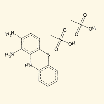 CS(=O)(=O)O.CS(=O)(=O)O.Nc1ccc2c(c1N)Nc1ccccc1S2